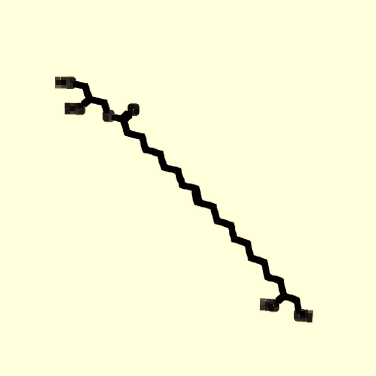 O=C(CCCCCCCC=CCCCCCCCCCC(O)CO)OCC(O)CO